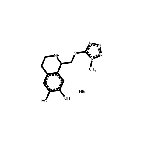 Br.Cn1nnnc1SCC1NCCc2cc(O)c(O)cc21